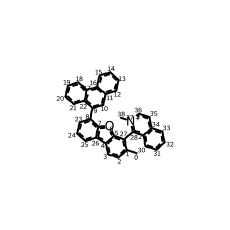 Cc1ccc2c(oc3c(-c4cc5ccccc5c5ccccc45)cccc32)c1-c1c2ccccc2cc[n+]1C